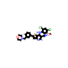 COc1cc(Nc2c(C#N)cnc3cc(-c4cccc(CN5CCOCC5)c4)sc23)c(Cl)cc1Cl